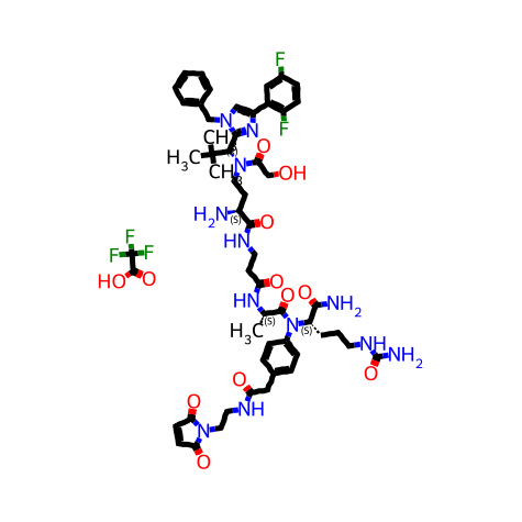 C[C@H](NC(=O)CCNC(=O)[C@@H](N)CCN(C(=O)CO)[C@@H](c1nc(-c2cc(F)ccc2F)cn1Cc1ccccc1)C(C)(C)C)C(=O)N(c1ccc(CC(=O)NCCN2C(=O)C=CC2=O)cc1)[C@@H](CCCNC(N)=O)C(N)=O.O=C(O)C(F)(F)F